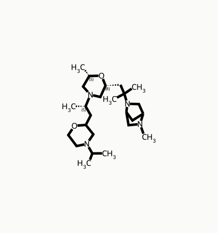 CC(C)N1CCOC(C[C@H](C)N2C[C@@H](CC(C)(C)N3CC4CC3CN4C)O[C@@H](C)C2)C1